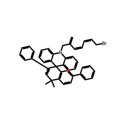 C=C(/C=C\C=C/CBr)CN1c2ccccc2C2(c3ccccc31)c1cc(-c3ccccc3)ccc1C(C)(C)c1ccc(-c3ccccc3)cc12